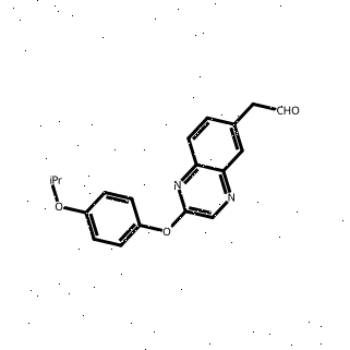 CC(C)Oc1ccc(Oc2cnc3cc(CC=O)ccc3n2)cc1